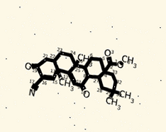 COC(=O)C12CCC3C(C(=O)C=C4C5(C)C=C(C#N)C(=O)CC5CCC43C)C1CC(C)(C)CC2